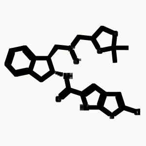 CC1(C)OCC(C[S+]([O-])C[C@@H]2c3ccccc3C[C@H]2NC(=O)c2cc3cc(Cl)sc3[nH]2)O1